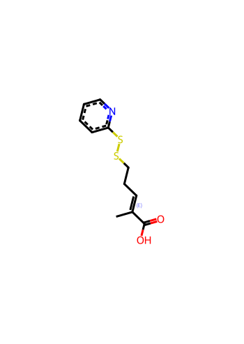 C/C(=C\CCSSc1ccccn1)C(=O)O